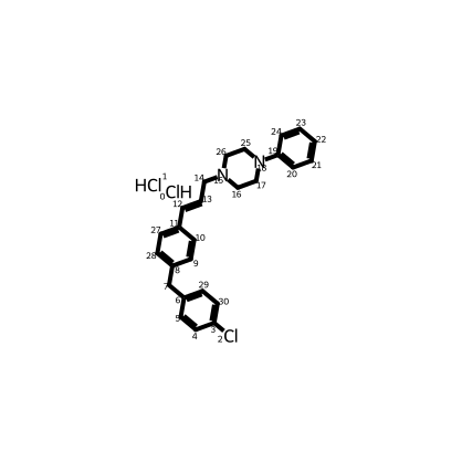 Cl.Cl.Clc1ccc(Cc2ccc(C=CCN3CCN(c4ccccc4)CC3)cc2)cc1